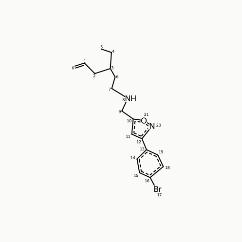 C=CCC(CC)CCNCc1cc(-c2ccc(Br)cc2)no1